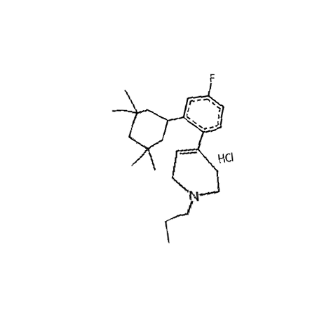 CCCN1CC=C(c2ccc(F)cc2C2CC(C)(C)CC(C)(C)C2)CC1.Cl